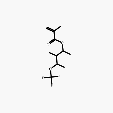 C=C(C)C(=O)OC(C)C(C)C(C)OC(F)(F)F